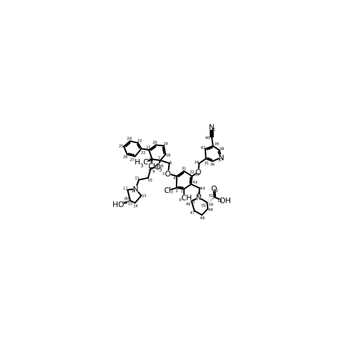 Cc1c(Cl)c(OCC2(OCCCN3CC[C@@H](O)C3)C=CC=C(c3ccccc3)C2(C)C)cc(OCc2cncc(C#N)c2)c1CN1CCCC[C@H]1C(=O)O